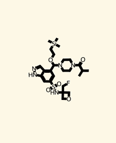 CC(C)C(=O)N1CCN(C(OCC[Si](C)(C)C)c2cc(S(=O)(=O)NC3(CF)COC3)cc3[nH]ncc23)CC1